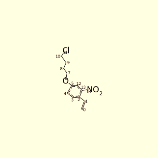 C=Cc1ccc(OCCCCCl)cc1[N+](=O)[O-]